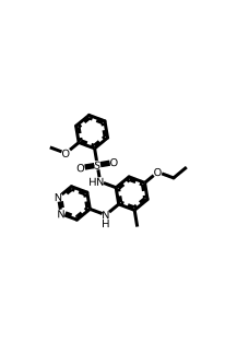 CCOc1cc(C)c(Nc2ccnnc2)c(NS(=O)(=O)c2ccccc2OC)c1